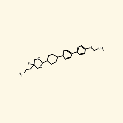 CCCC1(F)COC(C2CCC(c3ccc(-c4ccc(SCC)cc4)cc3)CC2)OC1